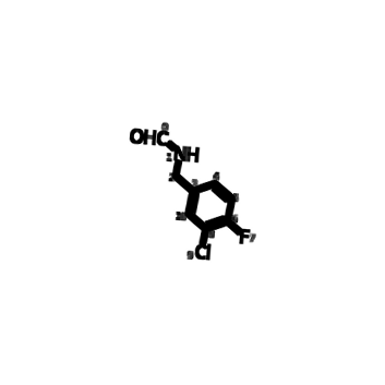 O=CNCc1ccc(F)c(Cl)c1